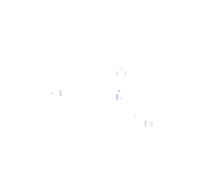 CC(C)N(OC=O)C(C)C